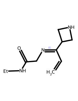 C=C/C(=N\CC(=O)NCC)C1CNC1